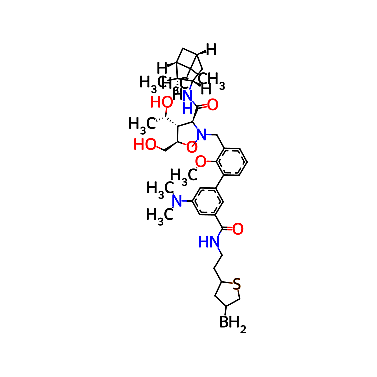 BC1CSC(CCNC(=O)c2cc(-c3cccc(CN4O[C@@H](CO)[C@H]([C@H](C)O)[C@H]4C(=O)N[C@H]4C[C@H]5C[C@@H]([C@@H]4C)C5(C)C)c3OC)cc(N(C)C)c2)C1